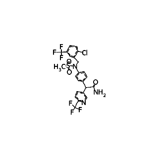 CS(=O)(=O)N(Cc1cc(C(F)(F)F)ccc1Cl)c1ccc(C(C(N)=O)c2ccc(C(F)(F)F)nc2)cc1